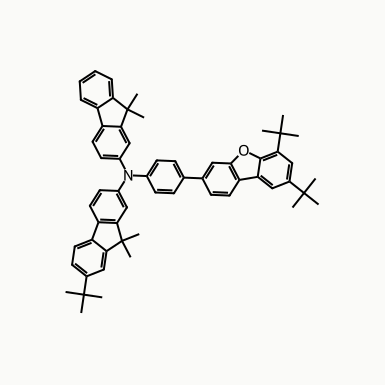 CC(C)(C)c1ccc2c(c1)C(C)(C)c1cc(N(c3ccc(-c4ccc5c(c4)oc4c(C(C)(C)C)cc(C(C)(C)C)cc45)cc3)c3ccc4c(c3)C(C)(C)c3ccccc3-4)ccc1-2